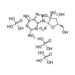 Nc1nc([N+](=O)[O-])nc2c1ncn2[C@]1([N+](=O)[O-])O[C@H](CO)[C@@H](O)[C@]1(O)[N+](=O)[O-].O=P(O)(O)O.O=P(O)(O)O.O=P(O)(O)O